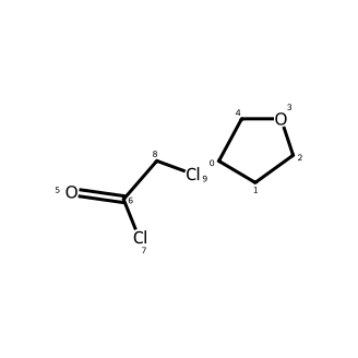 C1CCOC1.O=C(Cl)CCl